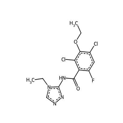 CCOc1c(Cl)cc(F)c(C(=O)Nc2nncn2CC)c1Cl